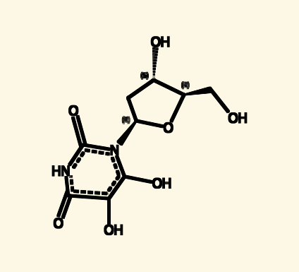 O=c1[nH]c(=O)n([C@H]2C[C@H](O)[C@@H](CO)O2)c(O)c1O